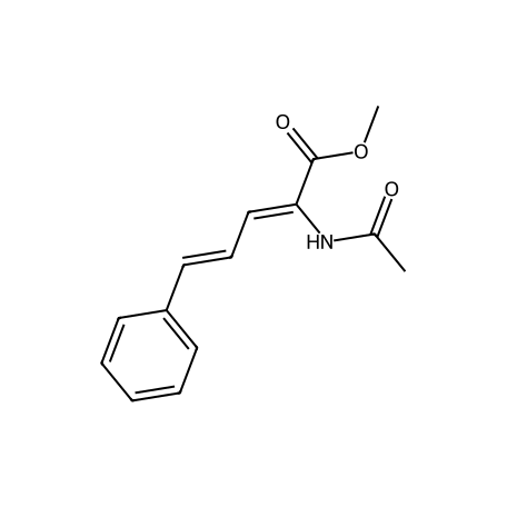 COC(=O)C(=CC=Cc1ccccc1)NC(C)=O